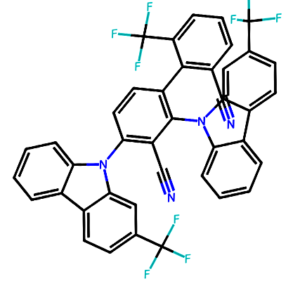 N#Cc1cccc(C(F)(F)F)c1-c1ccc(-n2c3ccccc3c3ccc(C(F)(F)F)cc32)c(C#N)c1-n1c2ccccc2c2ccc(C(F)(F)F)cc21